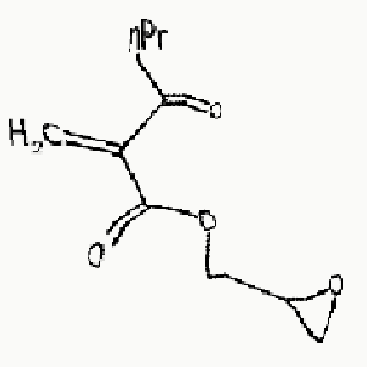 C=C(C(=O)CCC)C(=O)OCC1CO1